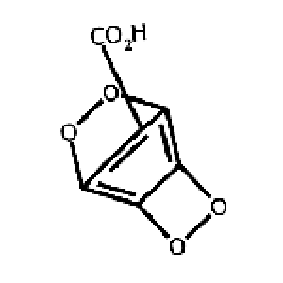 O=C(O)c1cc2c3ooc3c1OO2